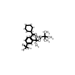 CC(C)(C)[SiH2]OC(C)(C)c1cc(C(F)(F)F)ccc1C(=O)C1CCCCC1